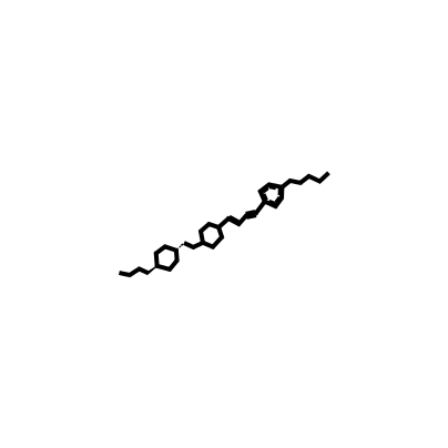 CCCCCc1ccc(C#C/C=C/C2CCC(CC[C@H]3CC[C@H](CCCC)CC3)CC2)cc1